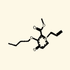 C=CCn1ccc(=O)c(OCCCC)c1C(=O)OC